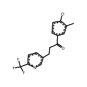 Cc1cc(C(=O)CCc2ccc(C(F)(F)F)nc2)ccc1Cl